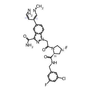 C=N/C=C(\C=C/N)c1ccc2c(c1)c(C(N)=O)nn2CC(=O)N1C[C@H](F)C[C@H]1C(=O)NCc1cc(F)cc(Cl)c1